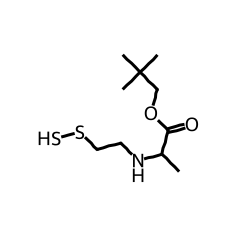 CC(NCCSS)C(=O)OCC(C)(C)C